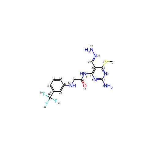 CSc1nc(N)nc(NC(=O)CNc2cccc(C(F)(F)F)c2)c1/C=N/N